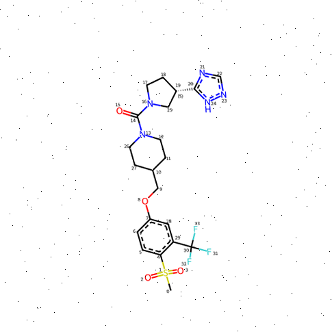 CS(=O)(=O)c1ccc(OCC2CCN(C(=O)N3CC[C@H](c4ncn[nH]4)C3)CC2)cc1C(F)(F)F